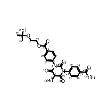 CCCCC1C(=O)N(c2ccc(C(=O)OCCOC(C)(C)CC)cc2)C(=O)N(c2ccc(C(=O)C(C)(C)C)cc2)C1=O